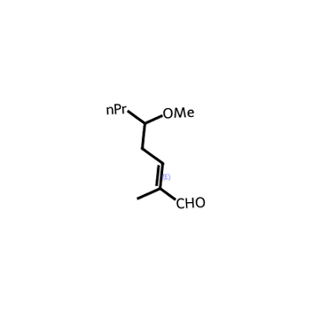 CCCC(C/C=C(\C)C=O)OC